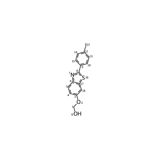 OCOc1ccc2nc(-c3ccc(I)cc3)sc2c1